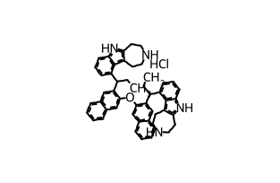 CCC(c1cc2ccccc2cc1Oc1cc2ccccc2cc1C(CC)c1cccc2[nH]c3c(c12)CCNCC3)c1cccc2[nH]c3c(c12)CCNCC3.Cl